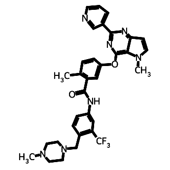 Cc1ccc(Oc2nc(-c3cccnc3)nc3ccn(C)c23)cc1C(=O)Nc1ccc(CN2CCN(C)CC2)c(C(F)(F)F)c1